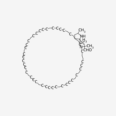 CC1CC2(CCCCCCCCCCCCCCCCCCCCCCCCCCCCCCCCCCCCCCCCCCCCCCCCN(C(C)(C)C=O)CC2)C(=O)N1